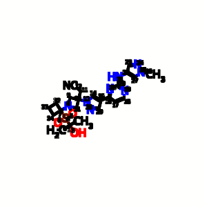 [CH2]C(C)(O)S(=O)(=O)C1(N2CC(CC#N)(n3cc(-c4ccnc(Nc5cnn(C)c5)n4)cn3)C2)CCC1